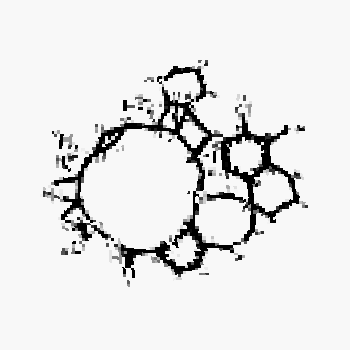 C[C@@H]1[C@@H](C)S(=O)(=O)NC(=O)c2ccc3c(n2)N(C[C@@H]2CC[C@H]2[C@](O)(C2SCCCS2)C2=C[C@H]1C2)C[C@@]1(CCCc2c1ccc(Cl)c2F)CO3